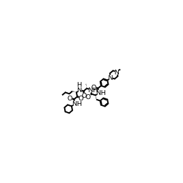 CCCC[C@H](NC(=O)[C@H](C)NC(=O)[C@@H](Cc1ccccc1)NC(=O)c1ccc(N2CCN(C)CC2)cc1)C(=O)C(=O)NC1CCCCC1